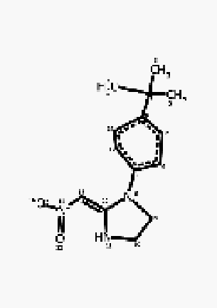 CC(C)(C)c1ccc(N2CCNC2=C[N+](=O)[O-])cc1